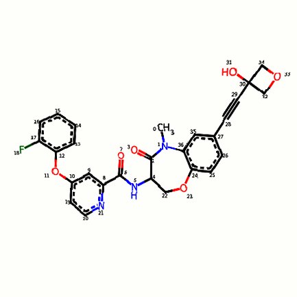 CN1C(=O)C(NC(=O)c2cc(Oc3ccccc3F)ccn2)COc2ccc(C#CC3(O)COC3)cc21